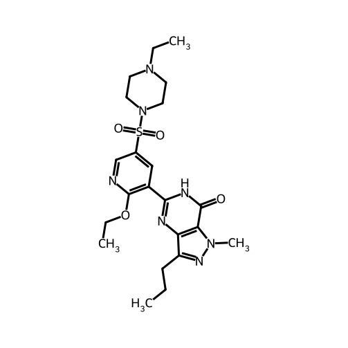 CCCc1nn(C)c2c(=O)[nH]c(-c3cc(S(=O)(=O)N4CCN(CC)CC4)cnc3OCC)nc12